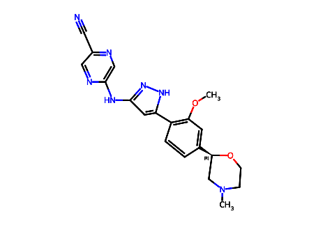 COc1cc([C@@H]2CN(C)CCO2)ccc1-c1cc(Nc2cnc(C#N)cn2)n[nH]1